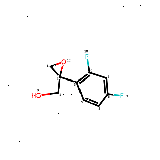 OCC1(c2ccc(F)cc2F)CO1